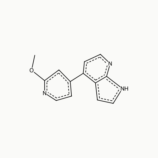 COc1cc(-c2ccnc3[nH]ccc23)ccn1